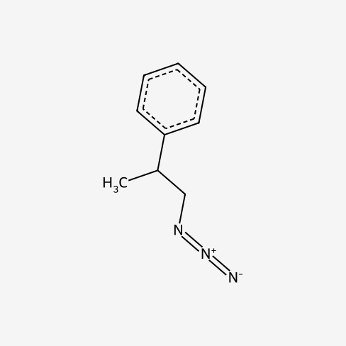 CC(CN=[N+]=[N-])c1ccccc1